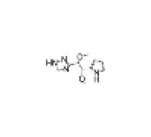 COC(c1nc[nH]n1)C(OC)c1ccc[nH]1